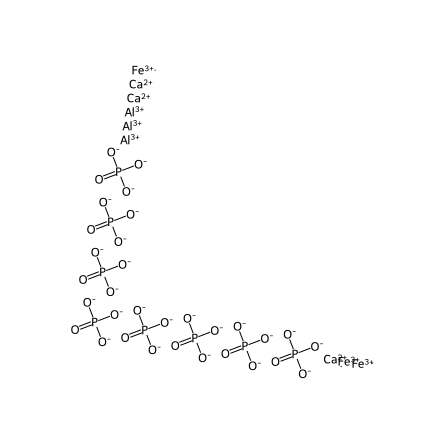 O=P([O-])([O-])[O-].O=P([O-])([O-])[O-].O=P([O-])([O-])[O-].O=P([O-])([O-])[O-].O=P([O-])([O-])[O-].O=P([O-])([O-])[O-].O=P([O-])([O-])[O-].O=P([O-])([O-])[O-].[Al+3].[Al+3].[Al+3].[Ca+2].[Ca+2].[Ca+2].[Fe+3].[Fe+3].[Fe+3]